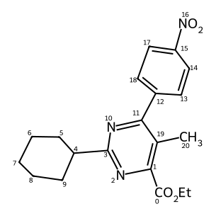 CCOC(=O)c1nc(C2CCCCC2)nc(-c2ccc([N+](=O)[O-])cc2)c1C